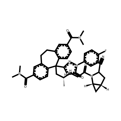 C[C@H](CC1(c2nn(-c3ccc(F)cc3)c(=O)[nH]2)c2ccc(C(=O)N(C)C)cc2CCc2cc(C(=O)N(C)C)ccc21)NCC(=O)N1C(C#N)C[C@@H]2C[C@@H]21